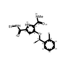 CCNC(=O)c1cc(O[C@H](C)c2ccccc2C)c(C(=O)NC)[nH]1